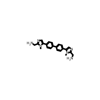 Cn1c(-c2ccc(-c3ccc(-c4cnc(CN)n4C)cc3)cc2)cnc1CN